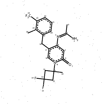 C/C(N)=N/c1cc(=O)n(C2(C)CC(F)(F)C2)cc1Cc1cccc(C(F)(F)F)c1C